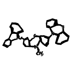 CN1c2ccc(N3c4ccccc4Sc4ccccc43)cc2Sc2cc(-n3c4ccccc4c4ccccc43)ccc21